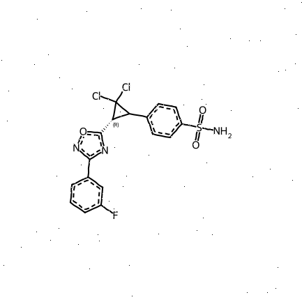 NS(=O)(=O)c1ccc(C2[C@H](c3nc(-c4cccc(F)c4)no3)C2(Cl)Cl)cc1